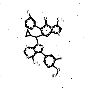 Cc1csc2cc(C(C3CC3)n3nc(-c4ccc(OC(C)C)c(F)c4)c4c(N)ncnc43)c(-c3cccc(F)c3)c(=O)n12